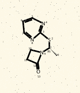 C[C@@H](Sc1ncccn1)N1CCC1=O